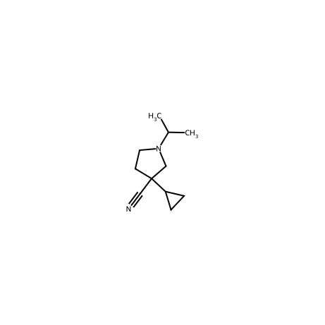 CC(C)N1CCC(C#N)(C2CC2)C1